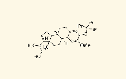 COc1cc2c(cc1O[Si](C(C)C)(C(C)C)C(C)C)CC[C@@H]1[C@@H]2CC[C@]2(C)C([C@H](C)CO)=CC[C@@H]12